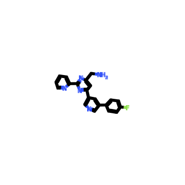 NCc1cc(-c2cncc(-c3ccc(F)cc3)c2)nc(-c2ccccn2)n1